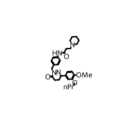 CCCOc1cc(C2=NN(Cc3ccc(NC(=O)CCN4CCCCC4)cc3)C(=O)CC2)ccc1OC